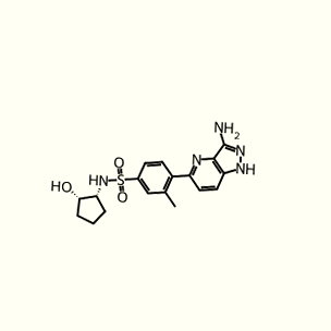 Cc1cc(S(=O)(=O)N[C@@H]2CCC[C@@H]2O)ccc1-c1ccc2[nH]nc(N)c2n1